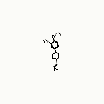 CC/C=C/C1CCC(c2ccc(OCCC)c(CCC)c2)CC1